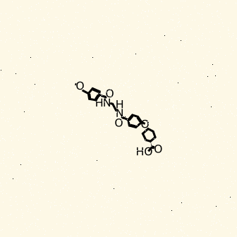 COCc1ccc(C(=O)NCCNC(=O)c2ccc(O[C@H]3CC[C@@H](C(=O)O)CC3)cc2)cc1